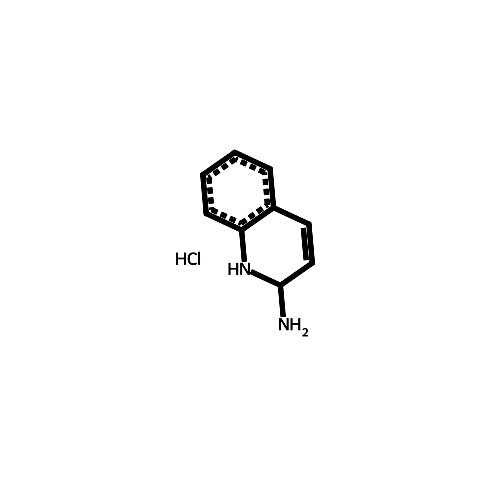 Cl.NC1C=Cc2ccccc2N1